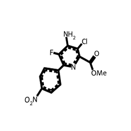 COC(=O)c1nc(-c2ccc([N+](=O)[O-])cc2)c(F)c(N)c1Cl